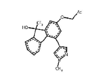 CC(=O)COc1cc(-c2cnn(C)c2)c2c(c1)C(O)(C(F)(F)F)c1ccccc1-2